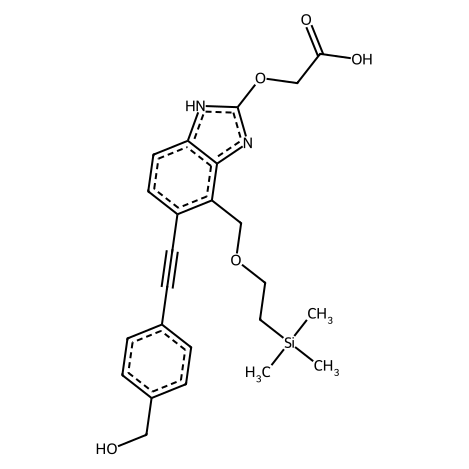 C[Si](C)(C)CCOCc1c(C#Cc2ccc(CO)cc2)ccc2[nH]c(OCC(=O)O)nc12